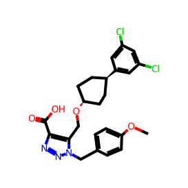 COc1ccc(Cn2nnc(C(=O)O)c2CO[C@H]2CC[C@H](c3cc(Cl)cc(Cl)c3)CC2)cc1